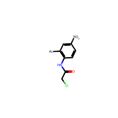 CC(=O)c1cc([N+](=O)[O-])ccc1NC(=O)CCl